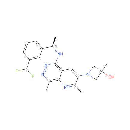 Cc1nc2c(C)nnc(N[C@H](C)c3cccc(C(F)F)c3)c2cc1N1CC(C)(O)C1